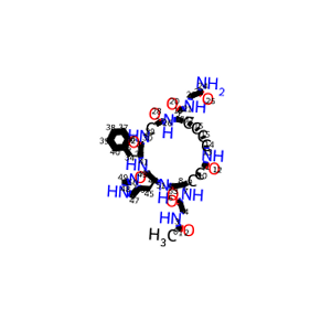 CC(=O)NCC(=O)N[C@H]1CCC(=O)NCCCC[C@@H](C(=O)NCC(N)=O)NC(=O)CNC(=O)[C@@H](Cc2ccccc2)NC(=O)[C@H](Cc2c[nH]cn2)NC1=O